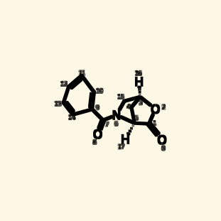 O=C1O[C@H]2C[C@@H]1N(C(=O)c1ccccc1)C2